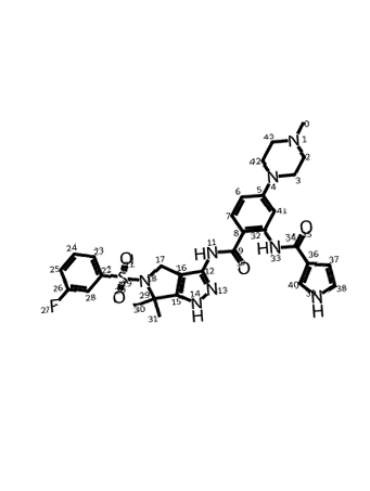 CN1CCN(c2ccc(C(=O)Nc3n[nH]c4c3CN(S(=O)(=O)c3cccc(F)c3)C4(C)C)c(NC(=O)c3cc[nH]c3)c2)CC1